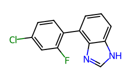 Fc1cc(Cl)ccc1-c1cccc2[nH]cnc12